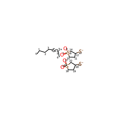 CCC[CH2][Sn+2][CH2]C.O=S1(=O)CCC([S-])C1.O=S1(=O)CCC([S-])C1